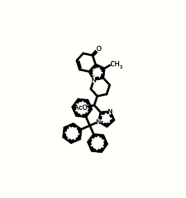 CC(=O)OC(c1nccn1C(c1ccccc1)(c1ccccc1)c1ccccc1)C1CCc2c(C)c3c(n2C1)C=CCC3=O